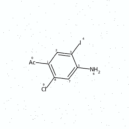 CC(=O)c1cc(I)c(N)cc1Cl